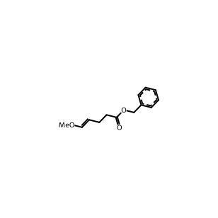 COC=CCCC(=O)OCc1ccccc1